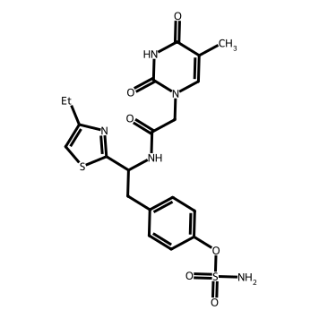 CCc1csc(C(Cc2ccc(OS(N)(=O)=O)cc2)NC(=O)Cn2cc(C)c(=O)[nH]c2=O)n1